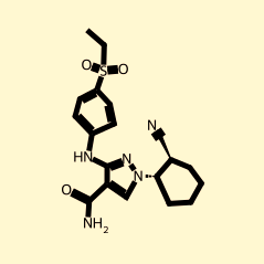 CCS(=O)(=O)c1ccc(Nc2nn([C@H]3CCCC[C@@H]3C#N)cc2C(N)=O)cc1